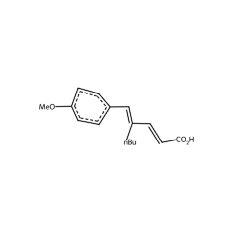 CCCCC(/C=C/C(=O)O)=C\c1ccc(OC)cc1